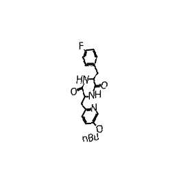 CCCCOc1ccc(CC2NC(=O)C(Cc3ccc(F)cc3)NC2=O)nc1